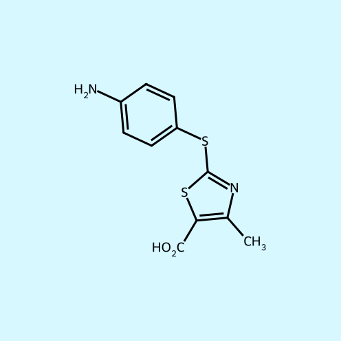 Cc1nc(Sc2ccc(N)cc2)sc1C(=O)O